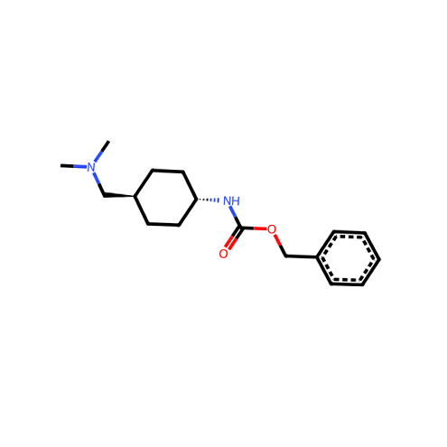 CN(C)C[C@H]1CC[C@H](NC(=O)OCc2ccccc2)CC1